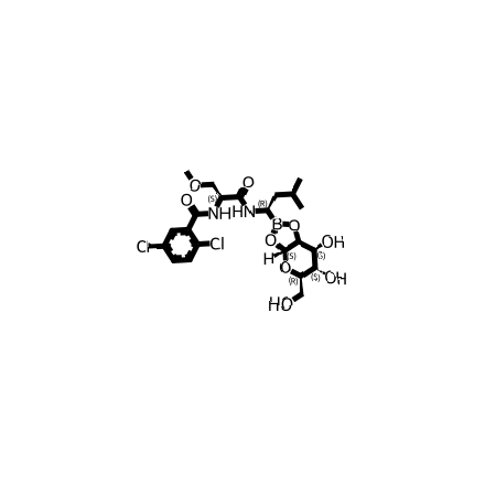 COC[C@H](NC(=O)c1cc(Cl)ccc1Cl)C(=O)N[C@@H](CC(C)C)B1OC2[C@@H](O1)O[C@H](CO)[C@@H](O)[C@@H]2O